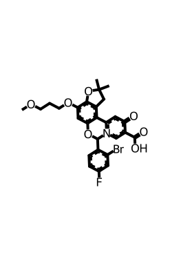 COCCCOc1cc2c(c3c1OC(C)(C)C3)-c1cc(=O)c(C(=O)O)cn1C(c1ccc(F)cc1Br)O2